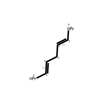 [CH2]CC/C=C/C/C=C/CCC